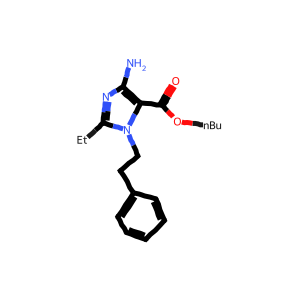 CCCCOC(=O)c1c(N)nc(CC)n1CCc1ccccc1